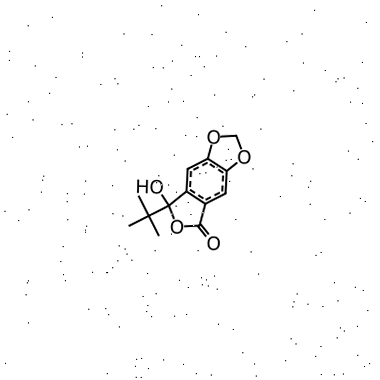 CC(C)(C)C1(O)OC(=O)c2cc3c(cc21)OCO3